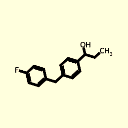 CCC(O)c1ccc(Cc2ccc(F)cc2)cc1